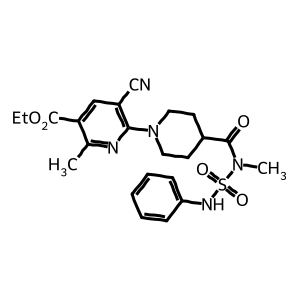 CCOC(=O)c1cc(C#N)c(N2CCC(C(=O)N(C)S(=O)(=O)Nc3ccccc3)CC2)nc1C